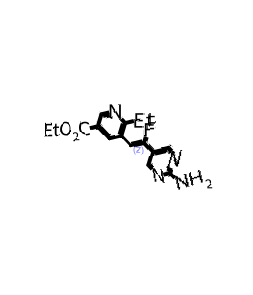 CCOC(=O)c1cnc(CC)c(/C=C(\F)c2cnc(N)nc2)c1